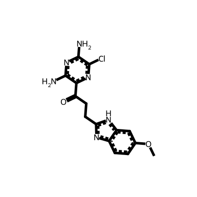 COc1ccc2nc(CCC(=O)c3nc(Cl)c(N)nc3N)[nH]c2c1